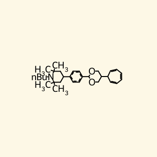 CCCCN1C(C)(C)CC(c2ccc(C3OCC(C4C=CC=CC=C4)CO3)cc2)CC1(C)C